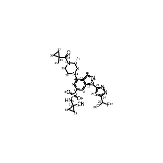 C[C@@H]1CN(c2cc(S(=O)(=O)NC3(C#N)CC3)cc3c2cnn3-c2nnc(C(F)F)s2)CCN1C(=O)C1(C)CC1